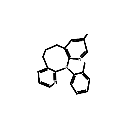 Cc1cnc2c(c1)CCCc1cccnc1N2c1ccccc1C